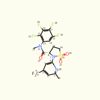 Cc1cc(C(F)(F)F)cc(N2[C@H](C(=O)N(C)c3cc(F)c(F)c(F)c3F)CCS2(=O)=O)n1